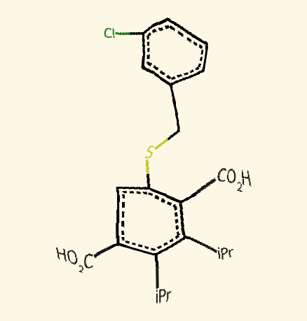 CC(C)c1c(C(=O)O)cc(SCc2cccc(Cl)c2)c(C(=O)O)c1C(C)C